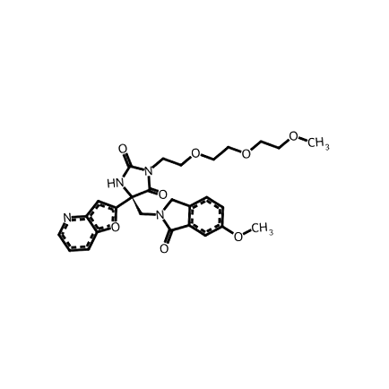 COCCOCCOCCN1C(=O)N[C@@](CN2Cc3ccc(OC)cc3C2=O)(c2cc3ncccc3o2)C1=O